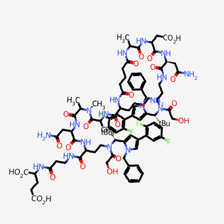 CC(NC(=O)CCCC(=O)NC(CCCCN)C(=O)NC(C)C(=O)N(C)C(C)C(=O)NC(CC(N)=O)C(=O)NC(CCN(C(=O)CO)[C@@H](c1cc(-c2cc(F)ccc2F)cn1Cc1ccccc1)C(C)(C)C)C(=O)NCCC(=O)NC(CCC(=O)O)C(=O)O)C(=O)NC(CC(=O)O)C(=O)N[C@@H](CC(N)=O)C(=O)NCCCN(C(=O)CO)[C@@H](c1cc(-c2cc(F)ccc2F)cn1Cc1ccccc1)C(C)(C)C